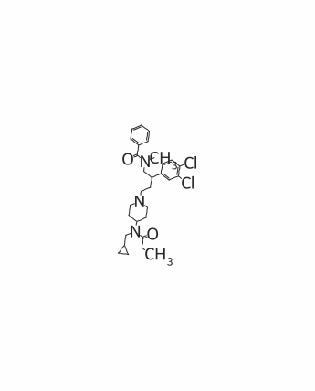 CCC(=O)N(CC1CC1)C1CCN(CCC(CN(C)C(=O)c2ccccc2)c2ccc(Cl)c(Cl)c2)CC1